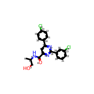 CC(CO)NC(=O)c1cc(-c2ccc(Cl)cc2)nc(-c2cccc(Cl)c2)n1